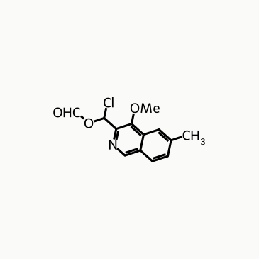 COc1c(C(Cl)OC=O)ncc2ccc(C)cc12